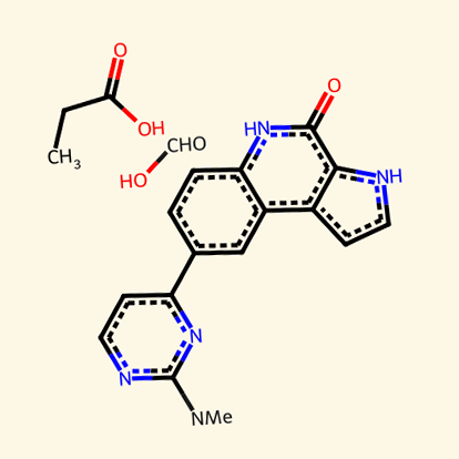 CCC(=O)O.CNc1nccc(-c2ccc3[nH]c(=O)c4[nH]ccc4c3c2)n1.O=CO